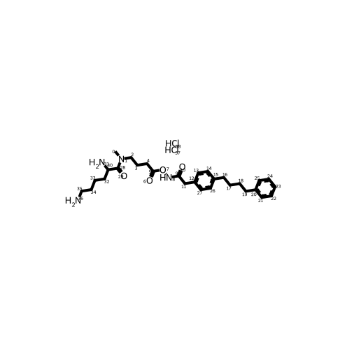 CN(CCCC(=O)ONC(=O)Cc1ccc(CCCCc2ccccc2)cc1)C(=O)C(N)CCCCN.Cl.Cl